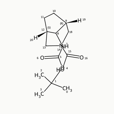 CC(C)(C)OC(=O)NC1[C@@H]2CC[C@H]1CN(C(=O)O)C2